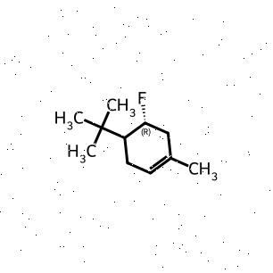 CC1=CCC(C(C)(C)C)[C@H](F)C1